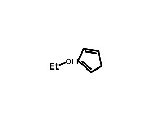 C1=CCC=C1.CCO